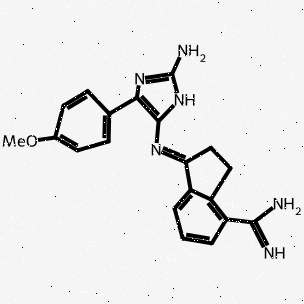 COc1ccc(-c2nc(N)[nH]c2N=C2CCc3c(C(=N)N)cccc32)cc1